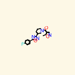 Cc1oncc1C(=O)N1CCCC(c2noc(-c3ccc(F)cc3)n2)C1